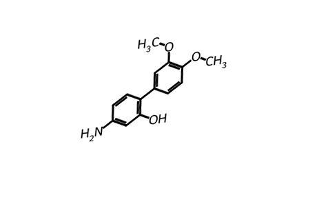 COc1ccc(-c2ccc(N)cc2O)cc1OC